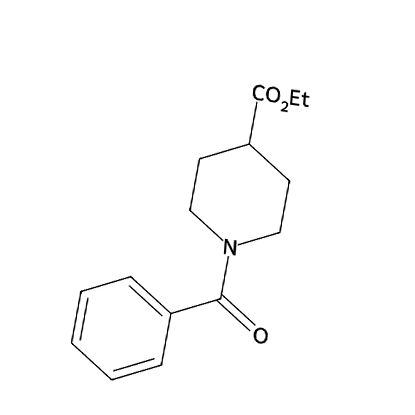 CCOC(=O)C1CCN(C(=O)c2ccccc2)CC1